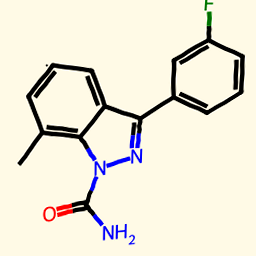 Cc1c[c]cc2c(-c3cccc(F)c3)nn(C(N)=O)c12